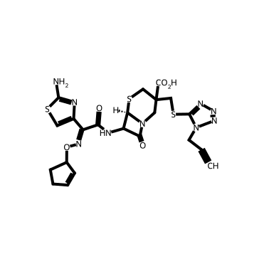 C#CCn1nnnc1SCC1(C(=O)O)CS[C@@H]2C(NC(=O)C(=NOC3C=CCC3)c3csc(N)n3)C(=O)N2C1